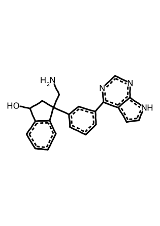 NCC1(c2cccc(-c3ncnc4[nH]ccc34)c2)CC(O)c2ccccc21